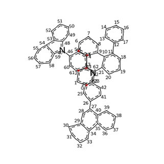 c1ccc(-c2ccccc2-c2c(-c3ccccc3)cccc2N(c2ccc(-c3cc4ccccc4c4ccccc34)cc2)c2ccc(-n3c4ccccc4c4ccccc43)cc2)cc1